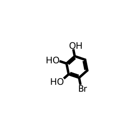 Oc1ccc(Br)c(O)c1O